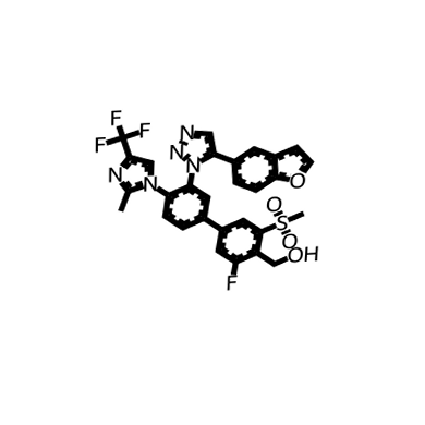 Cc1nc(C(F)(F)F)cn1-c1ccc(-c2cc(F)c(CO)c(S(C)(=O)=O)c2)cc1-n1nncc1-c1ccc2occc2c1